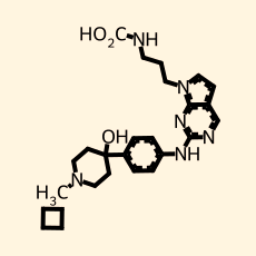 C1CCC1.CN1CCC(O)(c2ccc(Nc3ncc4ccn(CCCNC(=O)O)c4n3)cc2)CC1